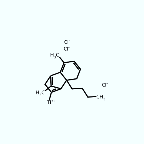 CCCCC12CC=CC(C)=C1C1=C(C)C2=[C]([Ti+3])C1.[Cl-].[Cl-].[Cl-]